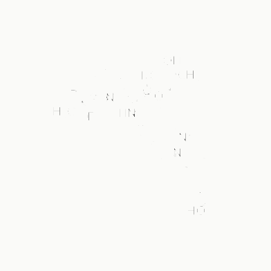 CC(C)(O)COc1cc2nn(C3CCC(CO)CC3)cc2cc1NC(=O)c1cccc(C(C)(F)F)n1